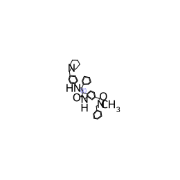 CN(Cc1ccccc1)C(=O)c1ccc2c(c1)NC(=O)/C2=C(\Nc1ccc(CN2CCCCC2)cc1)c1ccccc1